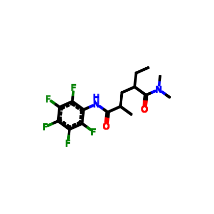 CCC(CC(C)C(=O)Nc1c(F)c(F)c(F)c(F)c1F)C(=O)N(C)C